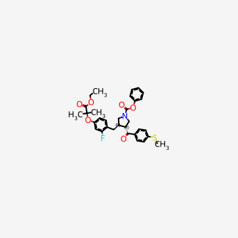 CCOC(=O)C(C)(C)Oc1ccc(C[C@H]2CN(C(=O)Oc3ccccc3)C[C@@H]2C(=O)c2ccc(SC)cc2)c(F)c1